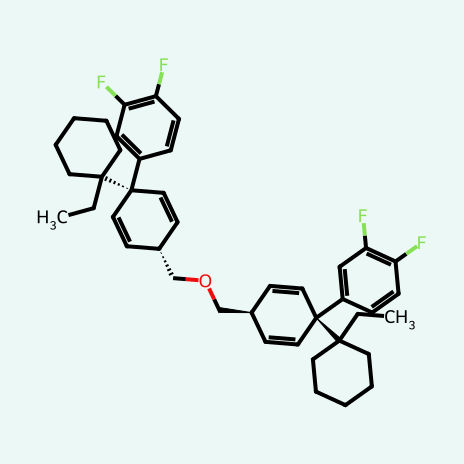 CCC1([C@]2(c3ccc(F)c(F)c3)C=C[C@H](COC[C@H]3C=C[C@@](c4ccc(F)c(F)c4)(C4(CC)CCCCC4)C=C3)C=C2)CCCCC1